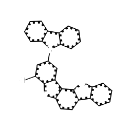 Clc1cc(-n2c3ccccc3c3ccccc32)cc2c1sc1ccc3c4ccccc4oc3c12